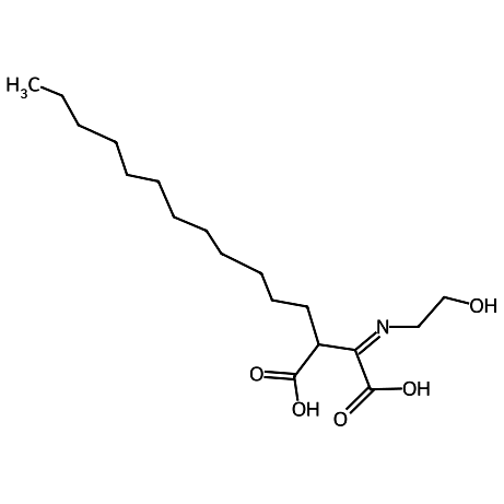 CCCCCCCCCCCCC(C(=O)O)C(=NCCO)C(=O)O